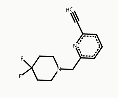 C#Cc1cccc(CN2CCC(F)(F)CC2)n1